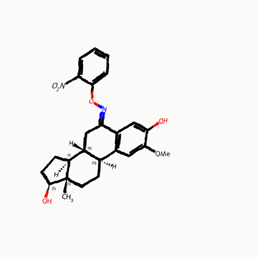 COc1cc2c(cc1O)C(=NOc1ccccc1[N+](=O)[O-])C[C@@H]1[C@@H]2CC[C@]2(C)[C@@H](O)CC[C@@H]12